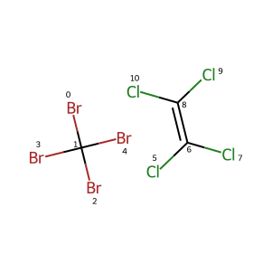 BrC(Br)(Br)Br.ClC(Cl)=C(Cl)Cl